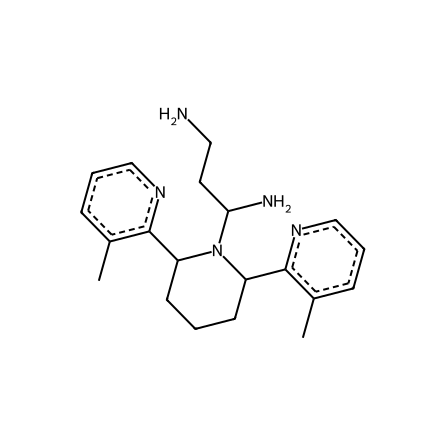 Cc1cccnc1C1CCCC(c2ncccc2C)N1C(N)CCN